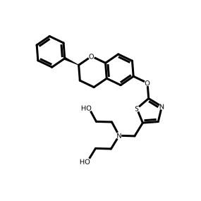 OCCN(CCO)Cc1cnc(Oc2ccc3c(c2)CC[C@@H](c2ccccc2)O3)s1